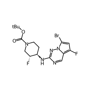 CC(C)(C)OC(=O)N1CC[C@@H](Nc2ncc3c(F)cc(Br)n3n2)[C@H](F)C1